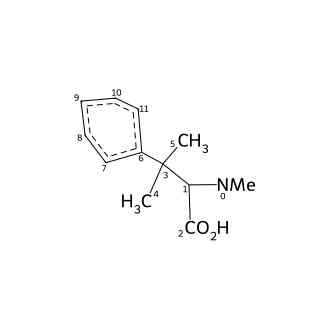 CNC(C(=O)O)C(C)(C)c1ccccc1